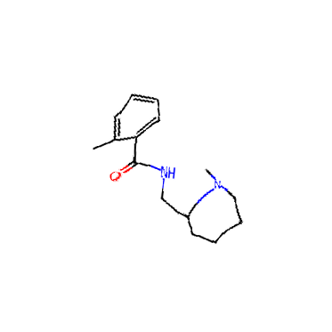 Cc1ccccc1C(=O)NCC1CCCCN1C